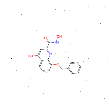 O=C(NO)c1cc(O)c2cccc(OCc3ccccc3)c2n1